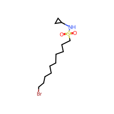 O=S(=O)(CCCCCCCCCCBr)NC1CC1